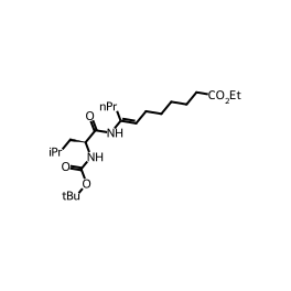 CCC/C(=C\CCCCCC(=O)OCC)NC(=O)[C@H](CC(C)C)NC(=O)OC(C)(C)C